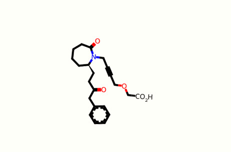 O=C(O)COCC#CCN1C(=O)CCCC[C@@H]1CCC(=O)Cc1ccccc1